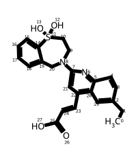 CCc1ccc2nc(N3CCS(O)(O)c4ccccc4C3)cc(C=CC(=O)O)c2c1